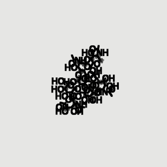 CC(=O)NC1C(O)[C@H](O)[C@H](CO)O[C@H]1O[C@@H]1C(O)[C@H](O)C(CO)O[C@@H]1OCC1O[C@@H](O[C@@H]2C(CO)O[C@@H](O[C@@H]3C(CO)O[C@@H](C)[C@@H](NC(C)=O)C3O)[C@@H](NC(C)=O)C2O)[C@H](O)C(O[C@H]2O[C@H](CO)[C@@H](O)C(O)C2O[C@@H]2OC(CO)[C@@H](O)C(O)[C@@H]2NC(C)=O)[C@@H]1O